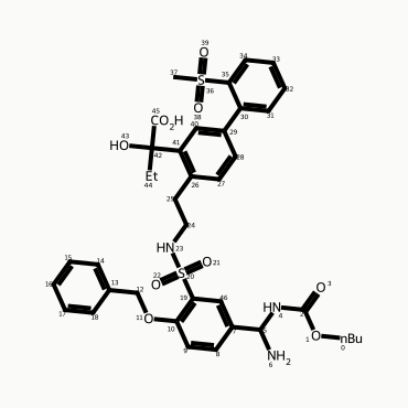 CCCCOC(=O)NC(N)c1ccc(OCc2ccccc2)c(S(=O)(=O)NCCc2ccc(-c3ccccc3S(C)(=O)=O)cc2C(O)(CC)C(=O)O)c1